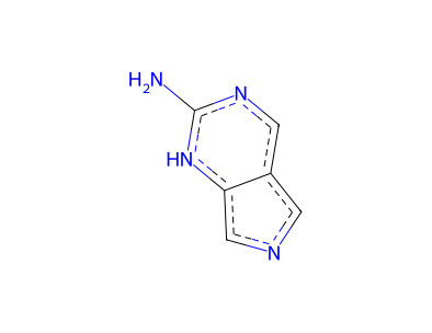 Nc1ncc2cncc-2[nH]1